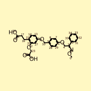 CO/N=C(\COc1ccc(COc2ccc(CCC(=O)O)c(OCC(=O)O)c2)cc1)c1ccccc1